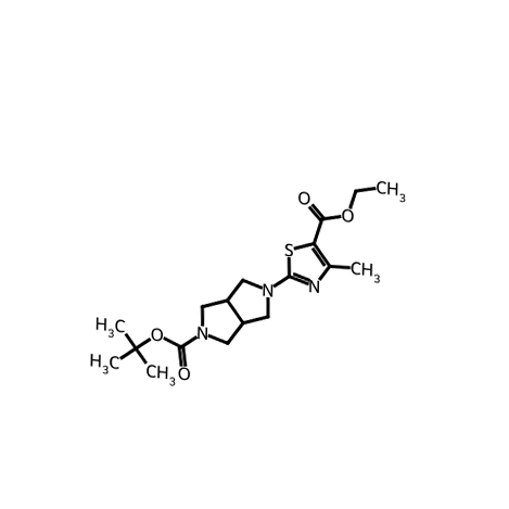 CCOC(=O)c1sc(N2CC3CN(C(=O)OC(C)(C)C)CC3C2)nc1C